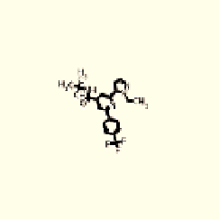 CCn1nccc1-c1cc(C(=O)NC(C)(C)C)cc(-c2ccc(C(F)(F)F)cc2)n1